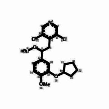 CCCCOC(Cc1c(Cl)cncc1Cl)c1ccc(OC)c(OC2CCCC2)c1